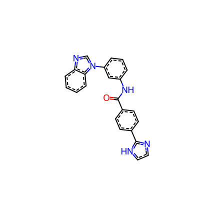 O=C(Nc1cccc(-n2cnc3ccccc32)c1)c1ccc(-c2ncc[nH]2)cc1